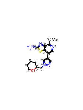 COc1ncc(-c2cnn(C[C@@H]3CCCCO3)c2)c2sc(N)nc12